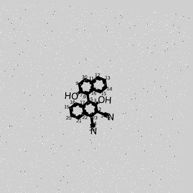 N#Cc1c(O)c(-c2c(O)ccc3ccccc23)c2ccccc2c1C#N